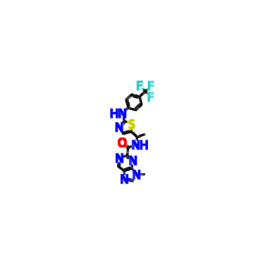 CC(NC(=O)c1ncc2ncn(C)c2n1)c1cnc(Nc2ccc(C(F)(F)F)cc2)s1